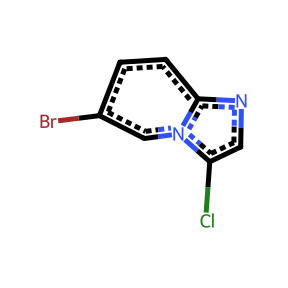 Clc1cnc2ccc(Br)cn12